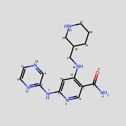 NC(=O)c1cnc(Nc2cnccn2)cc1NCC1CCCNC1